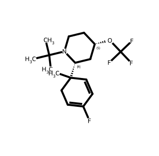 CC1([C@H]2C[C@@H](OC(F)(F)F)CCN2C(C)(C)C)C=CC(F)=CC1